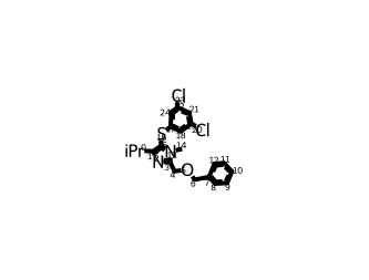 CC(C)c1nc(COCc2ccccc2)n(C)c1Sc1cc(Cl)cc(Cl)c1